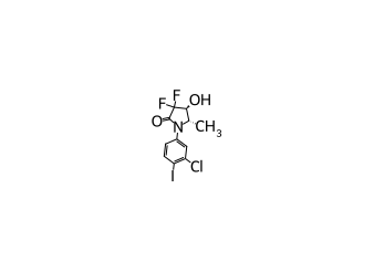 C[C@H]1[C@H](O)C(F)(F)C(=O)N1c1ccc(I)c(Cl)c1